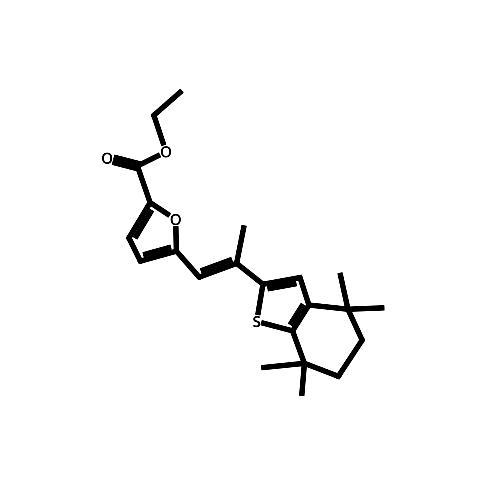 CCOC(=O)c1ccc(C=C(C)c2cc3c(s2)C(C)(C)CCC3(C)C)o1